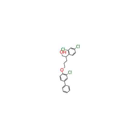 OCC(CCCOc1ccc(-c2ccccc2)cc1Cl)c1ccc(Cl)cc1Cl